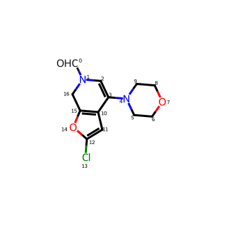 O=CN1C=C(N2CCOCC2)c2cc(Cl)oc2C1